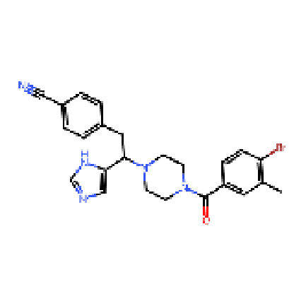 Cc1cc(C(=O)N2CCN(C(Cc3ccc(C#N)cc3)c3cnc[nH]3)CC2)ccc1Br